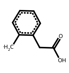 [CH2]c1ccccc1CC(=O)O